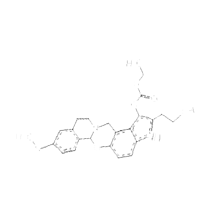 CCCc1[nH]c2ccc3c(c2c1OC(=O)OCC)CN1CCc2cc(SC)ccc2C1O3